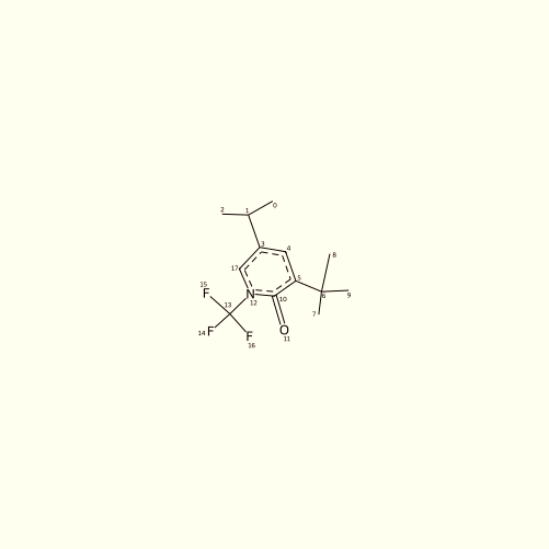 CC(C)c1cc(C(C)(C)C)c(=O)n(C(F)(F)F)c1